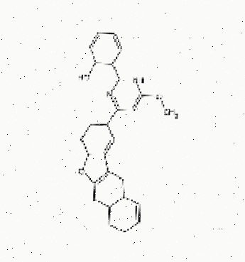 COC1=CC(C2C=C3C4=C(CC5CCC=CC5C4)OC3CC2)=NC(C2C=CC=CC2O)N1